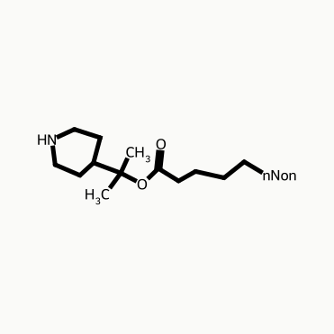 CCCCCCCCCCCCCC(=O)OC(C)(C)C1CCNCC1